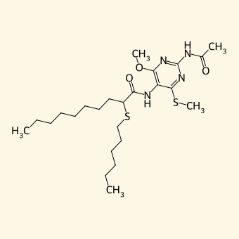 CCCCCCCCC(SCCCCCC)C(=O)Nc1c(OC)nc(NC(C)=O)nc1SC